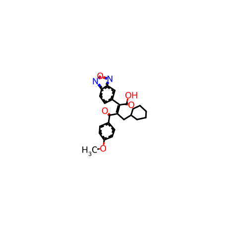 COc1ccc(C(=O)/C(CC2CCCCC2)=C(/C(=O)O)c2ccc3nonc3c2)cc1